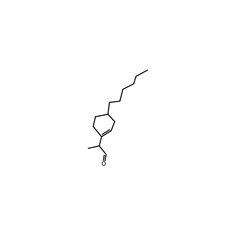 CCCCCCC1CC=C(C(C)C=O)CC1